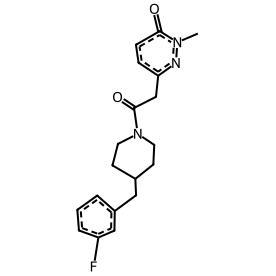 Cn1nc(CC(=O)N2CCC(Cc3cccc(F)c3)CC2)ccc1=O